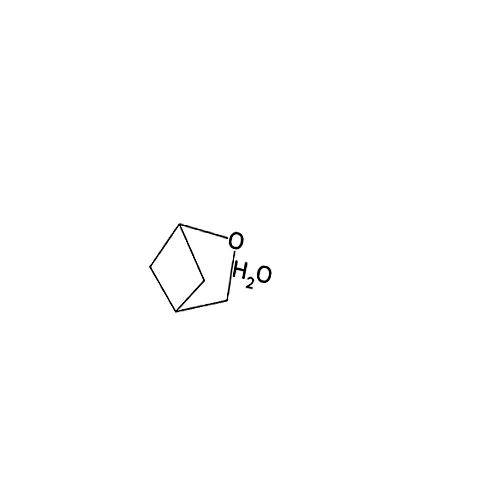 C1OC2CC1C2.O